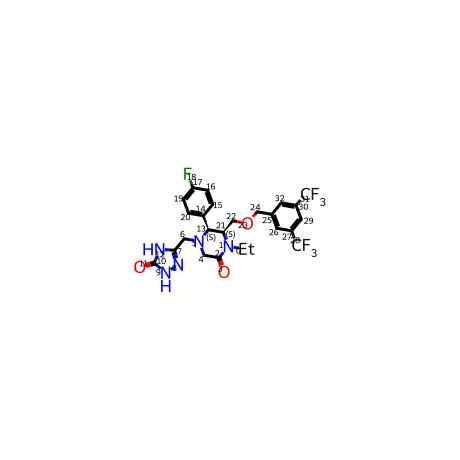 CCN1C(=O)CN(Cc2n[nH]c(=O)[nH]2)[C@@H](c2ccc(F)cc2)[C@H]1COCc1cc(C(F)(F)F)cc(C(F)(F)F)c1